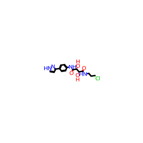 O=C(NCCCCl)[C@H](O)[C@@H](O)C(=O)Nc1ccc(-c2cc[nH]n2)cc1